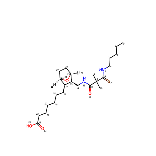 CCCCCNC(=S)C(C)(C)C(=O)NC[C@H]1[C@@H](CCCCCCC(=O)O)[C@H]2CC[C@@H]1O2